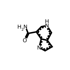 NC(=O)c1c[nH]cc2ccnc1-2